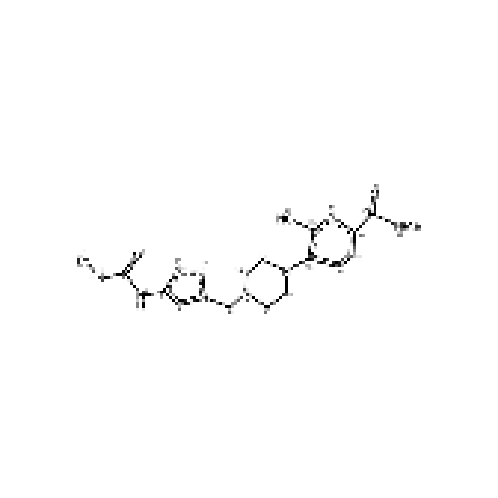 CCNC(=O)Nc1cc(CN2CCN(c3ccc(C(=O)NC)nc3C#N)CC2)on1